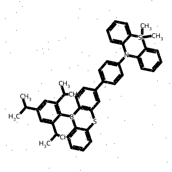 CC(C)c1cc(C(C)C)c(B2c3ccccc3Sc3cc(-c4ccc(N5c6ccccc6[Si](C)(C)c6ccccc65)cc4)ccc32)c(C(C)C)c1